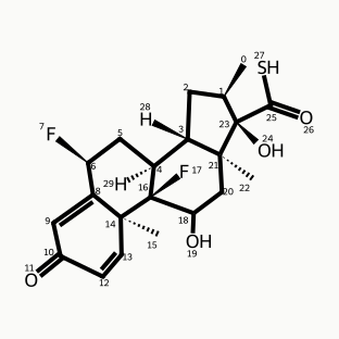 C[C@@H]1C[C@H]2[C@@H]3C[C@H](F)C4=CC(=O)C=C[C@]4(C)[C@@]3(F)C(O)C[C@]2(C)[C@@]1(O)C(=O)S